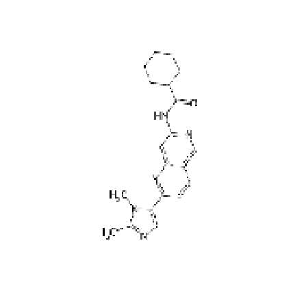 Cc1ncc(-c2ccc3cnc(NC(=O)C4CCCCC4)cc3n2)n1C